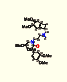 COc1ccc(CC(=O)N(CCCN(C)C[C@H]2Cc3cc(OC)c(OC)cc32)CC(OC)OC)cc1OC